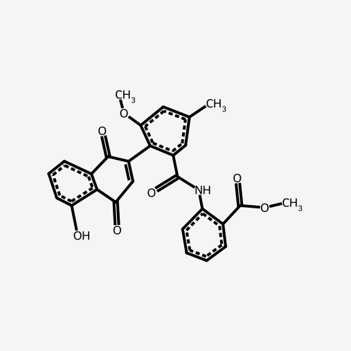 COC(=O)c1ccccc1NC(=O)c1cc(C)cc(OC)c1C1=CC(=O)c2c(O)cccc2C1=O